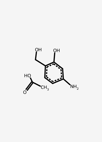 CC(=O)O.Nc1ccc(CO)c(O)c1